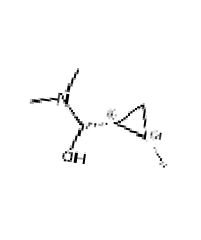 C[C@H]1C[C@H]1C(O)N(C)C